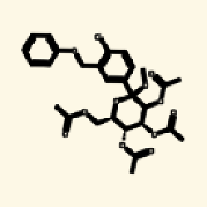 COC1(c2ccc(Cl)c(COc3ccccc3)c2)O[C@H](COC(C)=O)[C@@H](OC(C)=O)[C@H](OC(C)=O)C1OC(C)=O